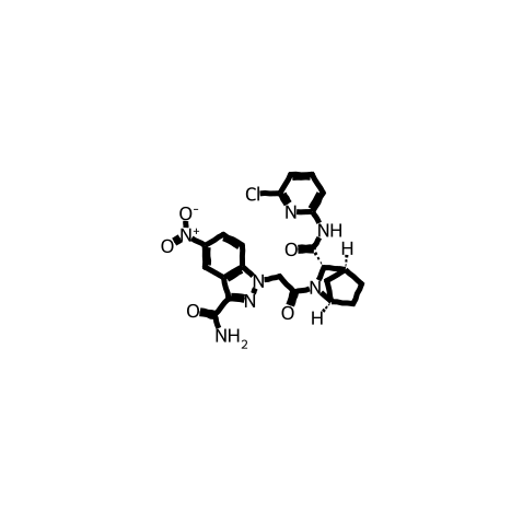 NC(=O)c1nn(CC(=O)N2[C@@H]3CC[C@@H](C3)[C@H]2C(=O)Nc2cccc(Cl)n2)c2ccc([N+](=O)[O-])cc12